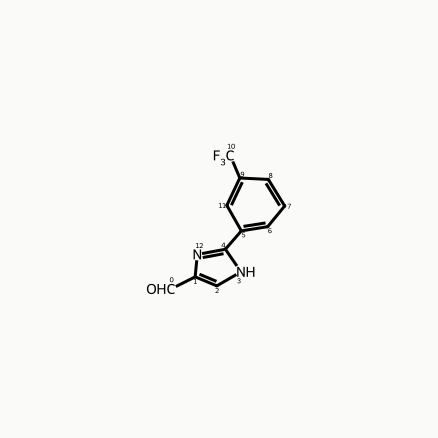 O=Cc1c[nH]c(-c2cccc(C(F)(F)F)c2)n1